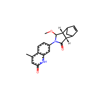 COC1[C@@H]2C3C=CC(C3)[C@@H]2C(=O)N1c1ccc2c(C)cc(=O)[nH]c2c1